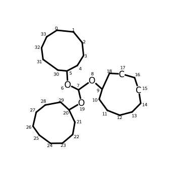 C1CCCCC(OC(OC2CCCCCCCCC2)OC2CCCCCCCCC2)CCCC1